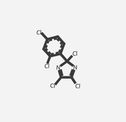 ClC1=NC(Cl)(c2ccc(Cl)cc2Cl)N=C1Cl